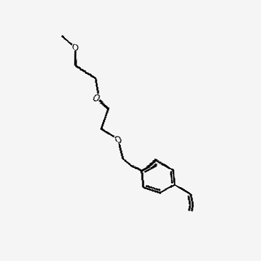 C=Cc1ccc(COCCOCCOC)cc1